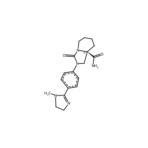 CN1CCN=C1c1ccc(N2C[C@@]3(C(N)=O)[CH]CCCN3C2=O)cc1